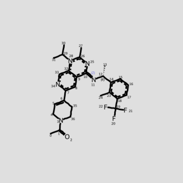 CC(=O)N1CC=C(c2cc3/c(=N/[C@H](C)c4cccc(C(F)(F)F)c4C)nc(C)n(C(C)C)c3cn2)CC1